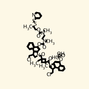 CCC1(C(=O)N2CC(CCl)c3c2cc(OC(=O)N(C)CCN(C)C(=O)OCC(C)SSc2ccccn2)c2ccccc32)CC(C)(C(=O)N2CC(CCl)c3c2cc(OP(=O)(O)O)c2ccccc32)C1